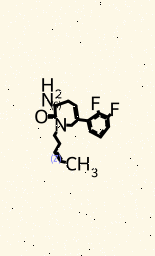 C/C=C\CCN1CC(c2cccc(F)c2F)=CC[C@H](N)C1=O